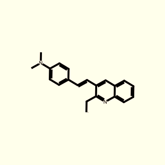 [CH2]Cc1nc2ccccc2cc1/C=C/c1ccc(N(C)C)cc1